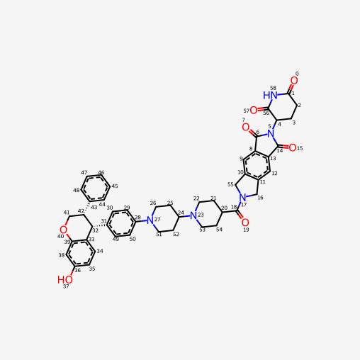 O=C1CCC(N2C(=O)c3cc4c(cc3C2=O)CN(C(=O)C2CCN(C3CCN(c5ccc([C@@H]6c7ccc(O)cc7OC[C@@H]6c6ccccc6)cc5)CC3)CC2)C4)C(=O)N1